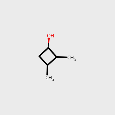 CC1C[C@@H](O)C1C